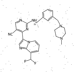 C[C@H](Nc1ncc(C#N)c(-c2cnc3c(C(F)F)cccn23)n1)c1cccc(CN2CCN(C)CC2)c1